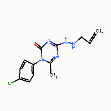 C=CCNNc1nc(C)n(-c2ccc(Cl)cc2)c(=O)n1